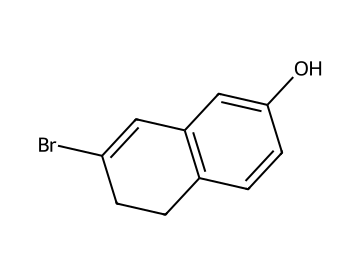 Oc1ccc2c(c1)C=C(Br)CC2